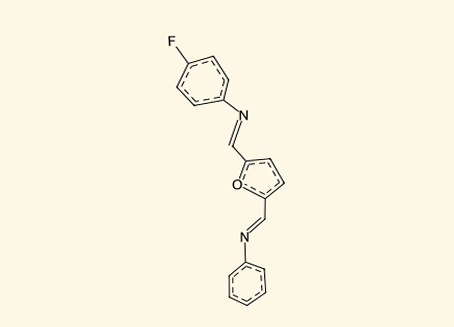 Fc1ccc(N=Cc2ccc(C=Nc3ccccc3)o2)cc1